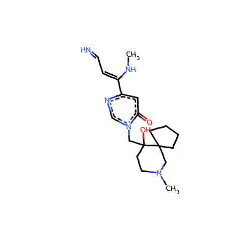 CN/C(=C\C=N)c1cc(=O)n(CC2(O)CCN(C)CC23CCCC3)cn1